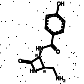 NC[C@H]1NC(=O)[C@H]1NC(=O)c1ccc(O)cc1